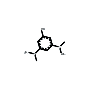 CCC(C)c1cc(N(C)C(C)(C)C)cc(N(C)C(C)(C)C)c1